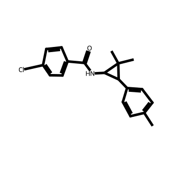 Cc1ccc(C2C(NC(=O)c3ccc(Cl)cc3)C2(C)C)cc1